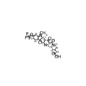 Cn1c(Cc2c(Cl)ncc(C(=O)N3CCC(CC(=O)O)CC3)c2Cl)cc2ccc(OC(F)(F)F)cc21